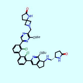 COc1nc(-c2cccc(-c3cccc(-c4cc5c(c(OCC(C)C)n4)C(NC[C@@H]4CCC(=O)N4)CC5)c3Cl)c2Cl)cnc1CN1CC2(CCC(=O)N2)C1